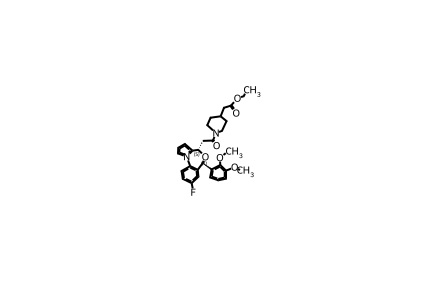 CCOC(=O)CC1CCN(C(=O)C[C@@H]2O[C@@H](c3cccc(OC)c3OC)c3cc(F)ccc3-n3cccc32)CC1